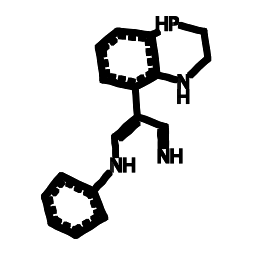 N=C/C(=C\Nc1ccccc1)c1cccc2c1NCCP2